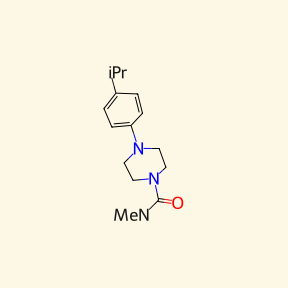 CNC(=O)N1CCN(c2ccc(C(C)C)cc2)CC1